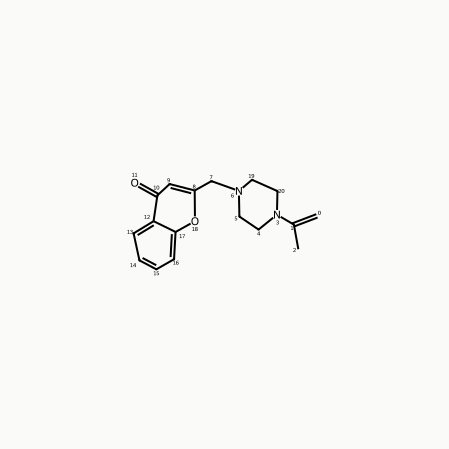 C=C(C)N1CCN(Cc2cc(=O)c3ccccc3o2)CC1